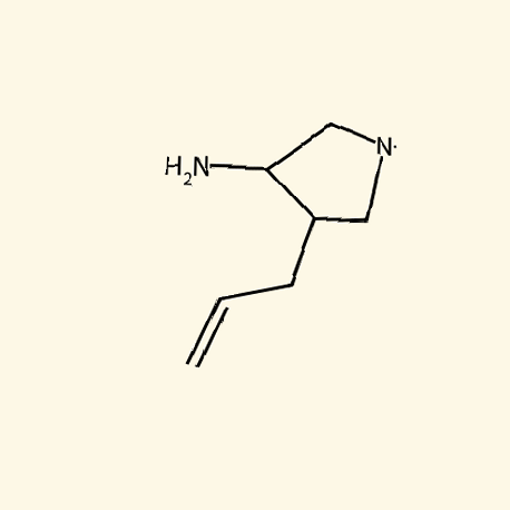 C=CCC1C[N]CC1N